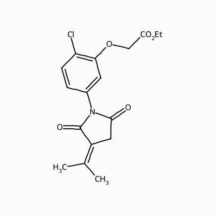 CCOC(=O)COc1cc(N2C(=O)CC(=C(C)C)C2=O)ccc1Cl